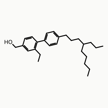 CCCCCC(CCC)CCCc1ccc(-c2ccc(CO)cc2CC)cc1